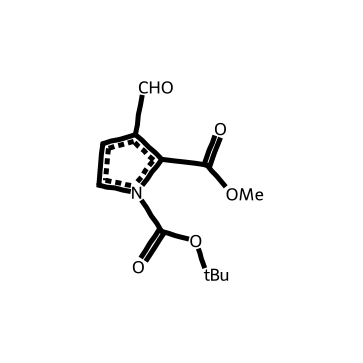 COC(=O)c1c(C=O)ccn1C(=O)OC(C)(C)C